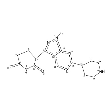 Cn1nc(C2CCC(=O)NC2=O)c2ccc(C3CCNCC3)cc21